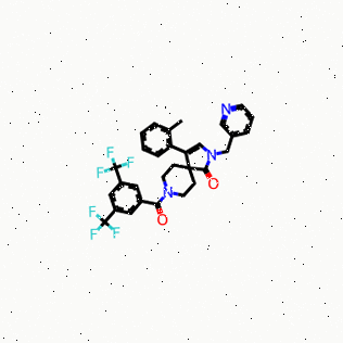 Cc1ccccc1C1=CN(Cc2cccnc2)C(=O)C12CCN(C(=O)c1cc(C(F)(F)F)cc(C(F)(F)F)c1)CC2